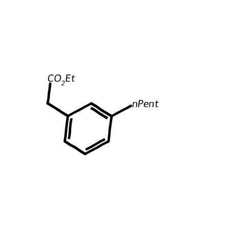 CCCCCc1cccc(CC(=O)OCC)c1